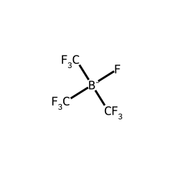 F[B-](C(F)(F)F)(C(F)(F)F)C(F)(F)F